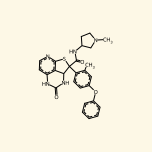 Cc1cc(Oc2ccccc2)ccc1C1(C(=O)NC2CCN(C)C2)Sc2nccc3c2C1NC(=O)N3